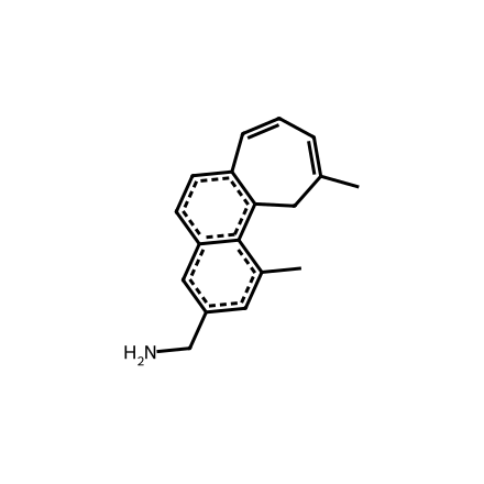 CC1=CC=Cc2ccc3cc(CN)cc(C)c3c2C1